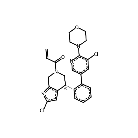 C=CC(=O)N1Cc2sc(Cl)cc2[C@@H](c2ccccc2-c2cnc(N3CCOCC3)c(Cl)c2)C1